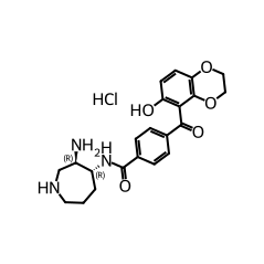 Cl.N[C@@H]1CNCCC[C@H]1NC(=O)c1ccc(C(=O)c2c(O)ccc3c2OCCO3)cc1